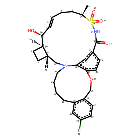 C[C@@H]1CC/C=C/[C@H](O)[C@@H]2CC[C@H]2CN2CCCCc3cc(Cl)ccc3COc3ccc(cc32)C(=O)NS1(=O)=O